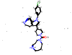 O=C(N1CCCNCC1)N1CCC(c2cn(-c3ccc(Cl)cc3)c3cnccc23)CC1